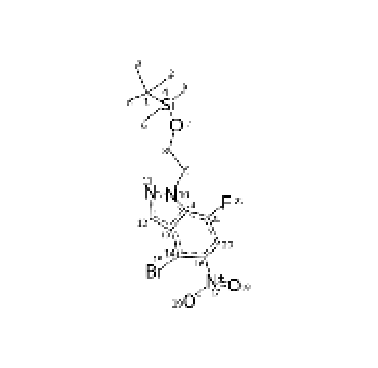 CC(C)(C)[Si](C)(C)OCCn1ncc2c(Br)c([N+](=O)[O-])cc(F)c21